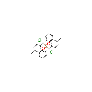 Cc1ccc(C(Cl)(c2ccccc2)S(=O)(=O)C(Cl)(c2ccccc2)c2ccc(C)cc2)cc1